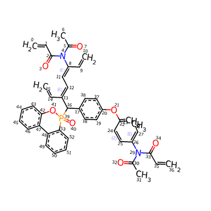 C=CC(=O)N(C(C)=O)/C(C=C)=C/C=C(\C=C)C(c1ccc(OC(=C)/C=C\C(=C/C)N(C(C)=O)C(=O)C=C)cc1)P1(=O)Oc2ccccc2-c2ccccc21